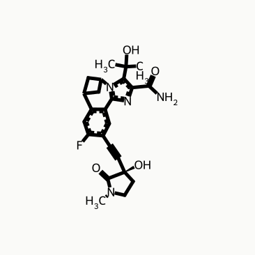 CN1CC[C@@](O)(C#Cc2cc3c(cc2F)C2CC(C2)n2c-3nc(C(N)=O)c2C(C)(C)O)C1=O